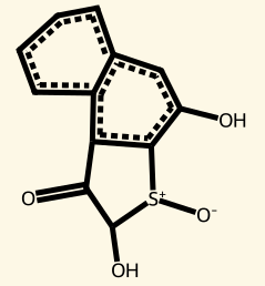 O=C1c2c(c(O)cc3ccccc23)[S+]([O-])C1O